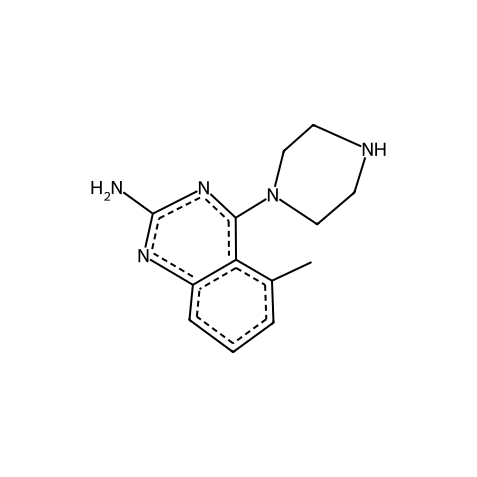 Cc1cccc2nc(N)nc(N3CCNCC3)c12